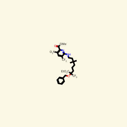 CCOC(=O)C(CCCC(C)(C)CCNc1nc(C(=O)OC)c([N+](=O)[O-])cc1C(F)(F)F)(OCc1ccccc1)C(F)(F)F